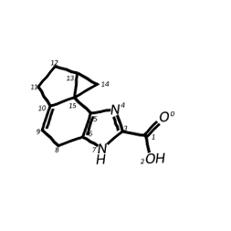 O=C(O)c1nc2c([nH]1)CC=C1CCC3CC123